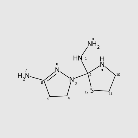 NNC1(N2CCC(N)=N2)NCCS1